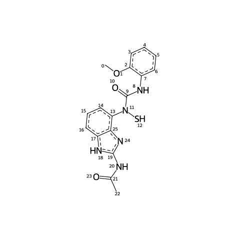 COc1ccccc1NC(=O)N(S)c1cccc2[nH]c(NC(C)=O)nc12